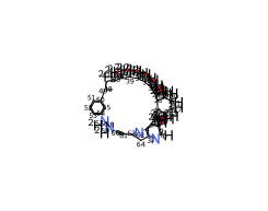 [2H]c1nc2c3c(c1[2H])C([2H])([2H])C1([2H])C([2H])([2H])C([2H])([2H])C([2H])([2H])C([2H])([2H])C1([2H])C([2H])([2H])C([2H])([2H])C([2H])([2H])C([2H])([2H])C([2H])([2H])C([2H])([2H])C([2H])([2H])CCc1cccc(c1)N([2H])N([2H])C#CC(=N3)C2